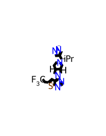 CC(C)[C@@H](c1cnn(C)c1)N1CC[C@@H]2CN(c3ncnc4sc(CC(F)(F)F)cc34)C[C@@H]2C1